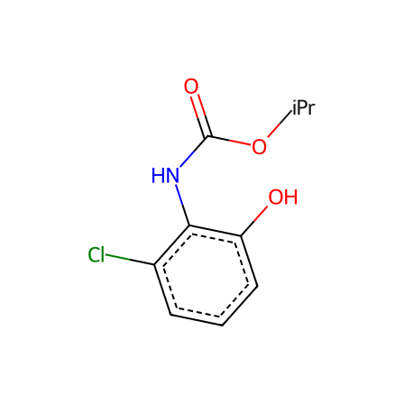 CC(C)OC(=O)Nc1c(O)cccc1Cl